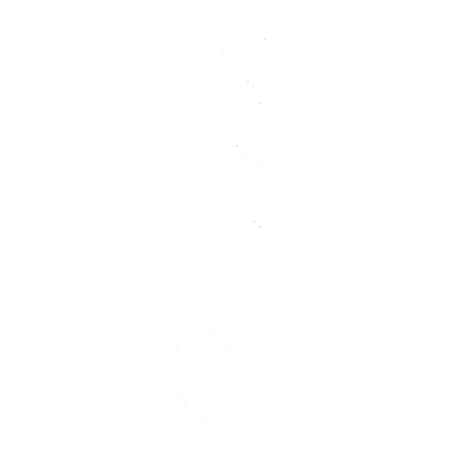 CCc1cc(N2C(=S)N(c3cnc(C#N)c(C(F)(F)F)c3)C(=O)C2(C)C)ccc1OCCN1CCN(CC(=O)Nc2cc(Cl)cc(NC3CCC(=O)NC3O)c2)[C@H](C)C1